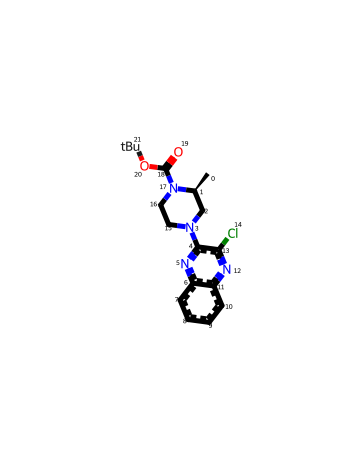 C[C@H]1CN(c2nc3ccccc3nc2Cl)CCN1C(=O)OC(C)(C)C